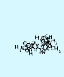 COc1cc2ncc(-c3cccc(NS(=O)(=O)C(C)C)c3)n2cc1S(=O)(=O)C(C)(C)C